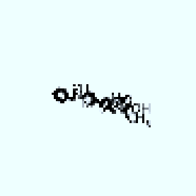 CCC(C(=O)O)N1Cc2sc(-c3ccc(N(C)Cc4ccccc4)nc3)cc2S1(=O)=O